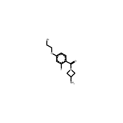 CC(C)CCOc1ccc(C(=O)N2CC(N)C2)c(F)c1